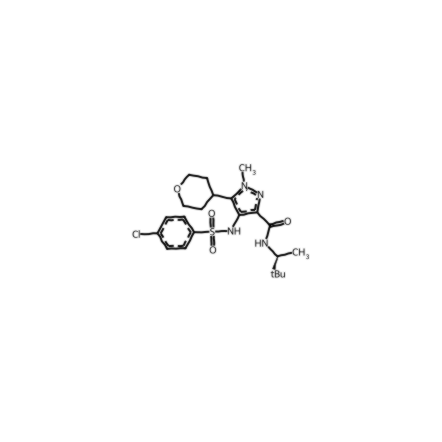 C[C@H](NC(=O)c1nn(C)c(C2CCOCC2)c1NS(=O)(=O)c1ccc(Cl)cc1)C(C)(C)C